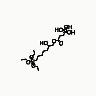 CCO[Si](CCCCCC(O)COC(=O)CC[Si](O)(O)O)(OCC)OCC